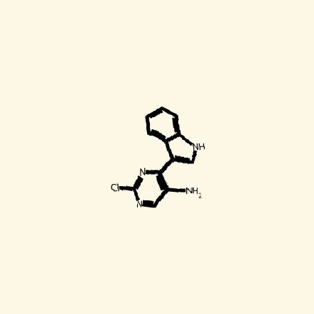 Nc1cnc(Cl)nc1-c1c[nH]c2ccccc12